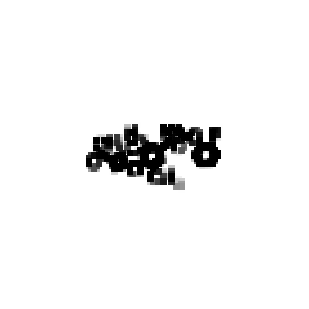 Cc1cc(-c2ncc(Oc3ccccc3F)o2)cc(C)c1OC1CC(C(=O)O)C1